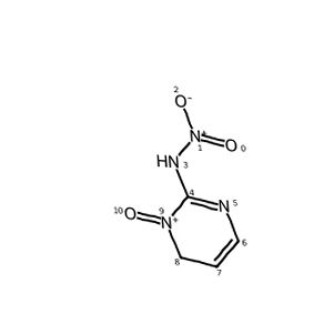 O=[N+]([O-])NC1=NC=CC[N+]1=O